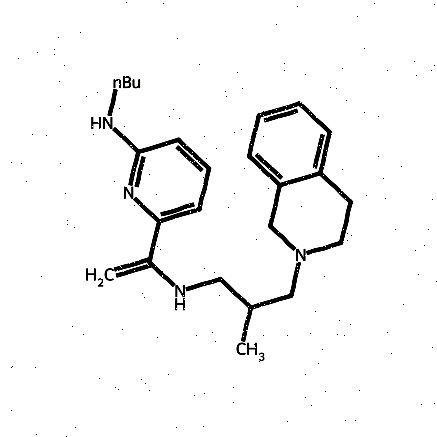 C=C(NCC(C)CN1CCc2ccccc2C1)c1cccc(NCCCC)n1